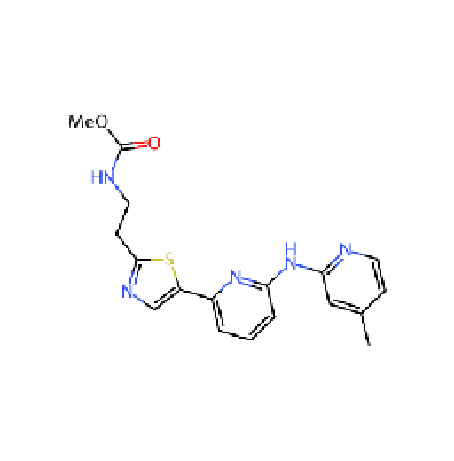 COC(=O)NCCc1ncc(-c2cccc(Nc3cc(C)ccn3)n2)s1